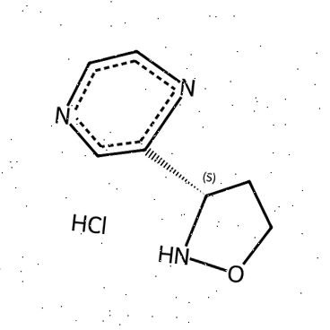 Cl.c1cnc([C@@H]2CCON2)cn1